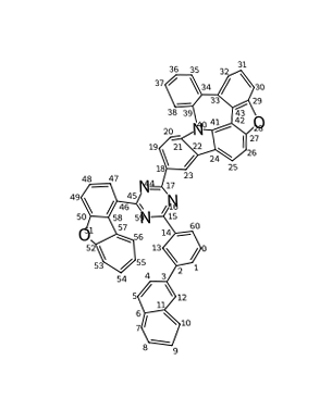 c1cc(-c2ccc3ccccc3c2)cc(-c2nc(-c3ccc4c(c3)c3ccc5oc6cccc7c8ccccc8n4c3c5c67)nc(-c3cccc4oc5ccccc5c34)n2)c1